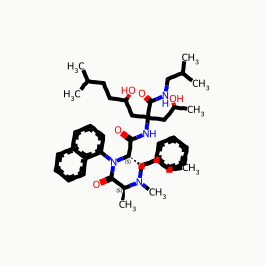 CCCC[C@@H](C(=O)NC(CC(C)O)(CC(O)CCC(C)C)C(=O)NCC(C)C)N(C(=O)[C@H](C)N(C)Cc1ccccc1)c1cccc2ccccc12